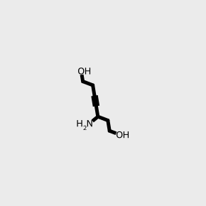 NC(C#CCCO)CCO